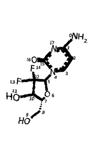 Nc1ccn(C2O[C@H](CO)C(O)C2(F)F)c(=O)n1